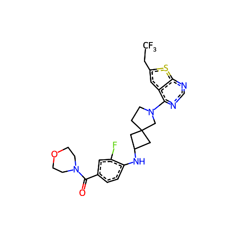 O=C(c1ccc(NC2CC3(CCN(c4ncnc5sc(CC(F)(F)F)cc45)C3)C2)c(F)c1)N1CCOCC1